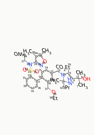 CCCC1(C)NC(C(C)(C)O)=C(C(=O)OCC)N1Cc1ccc(-c2ccccc2S(=O)(=O)N(COC)c2noc(C)c2C)c(COCC)c1